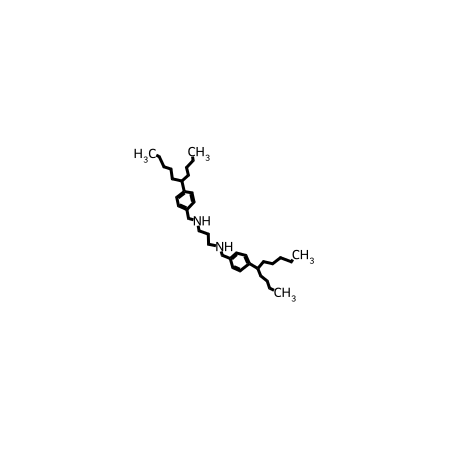 CCCCCC(CCCC)c1ccc(CNCCCNCc2ccc(C(CCCC)CCCCC)cc2)cc1